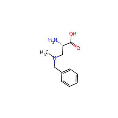 CN(Cc1ccccc1)C[C@H](N)C(=O)O